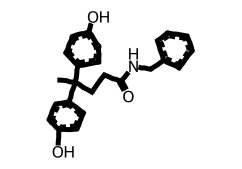 CC(CCC(=O)NCc1ccccc1)(c1ccc(O)cc1)c1ccc(O)cc1